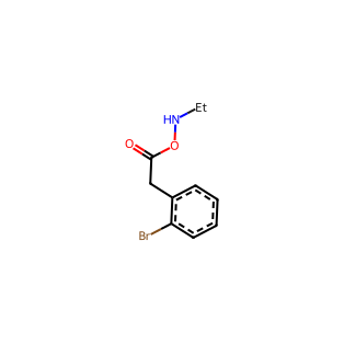 CCNOC(=O)Cc1ccccc1Br